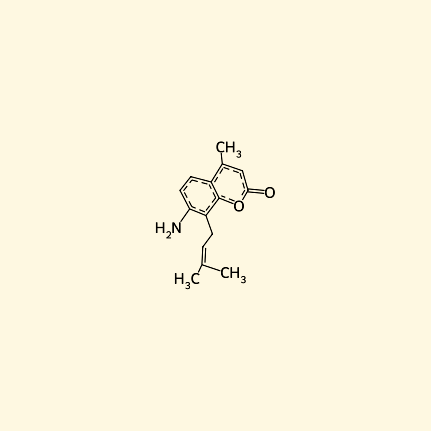 CC(C)=CCc1c(N)ccc2c(C)cc(=O)oc12